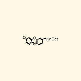 CCCCCCCCOCc1ccc2nc3ccc(=O)cc-3oc2c1